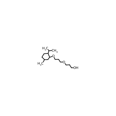 CC1CCC(C(C)C)C(OCCCOCCCO)C1